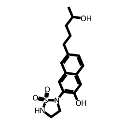 CC(O)CCCc1ccc2cc(O)c(N3CCNS3(=O)=O)cc2c1